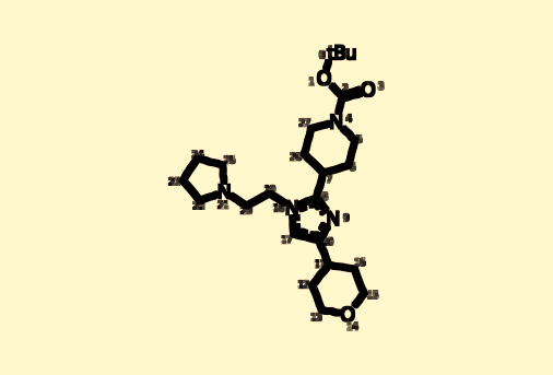 CC(C)(C)OC(=O)N1CCC(c2nc(C3CCOCC3)cn2CCN2CCCC2)CC1